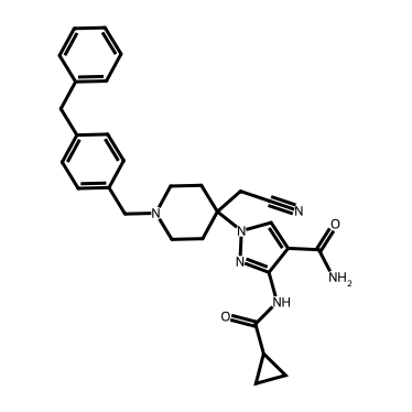 N#CCC1(n2cc(C(N)=O)c(NC(=O)C3CC3)n2)CCN(Cc2ccc(Cc3ccccc3)cc2)CC1